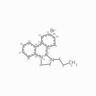 CCCN1CC[n+]2c1c1ccccc1c1ccccc12.[Br-]